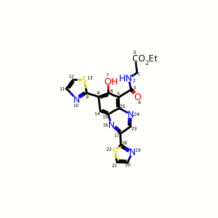 CCOC(=O)CNC(=O)c1c(O)c(-c2nccs2)cc2nc(-c3nccs3)cnc12